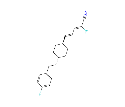 N#CC(F)=CC=C[C@H]1CC[C@H](CCc2ccc(F)cc2)CC1